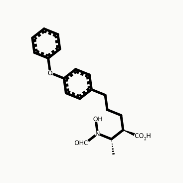 C[C@@H]([C@@H](CCCc1ccc(Oc2ccccc2)cc1)C(=O)O)N(O)C=O